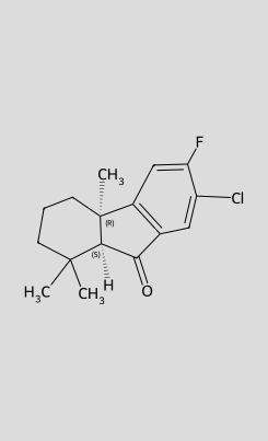 CC1(C)CCC[C@@]2(C)c3cc(F)c(Cl)cc3C(=O)[C@@H]12